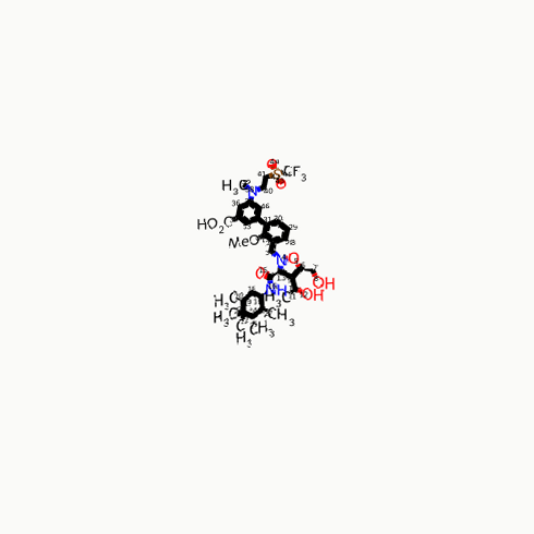 COc1c(CN2O[C@@H](CO)C([C@H](C)O)[C@H]2C(=O)N[C@H]2C[C@@H](C)C(C)(C)[C@@H](C)[C@@H]2C)cccc1-c1cc(C(=O)O)cc(N(C)CCS(=O)(=O)C(F)(F)F)c1